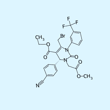 CCOC(=O)C1=C(CBr)N(c2cccc(C(F)(F)F)c2)C(=O)N(CC(=O)OC)[C@@H]1c1ccc(C#N)cc1